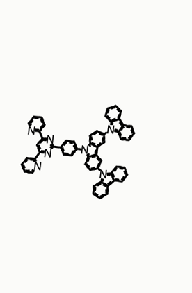 c1ccc(-c2cc(-c3ccccn3)nc(-c3ccc(-n4c5ccc(-n6c7ccccc7c7ccccc76)cc5c5cc(-n6c7ccccc7c7ccccc76)ccc54)cc3)n2)nc1